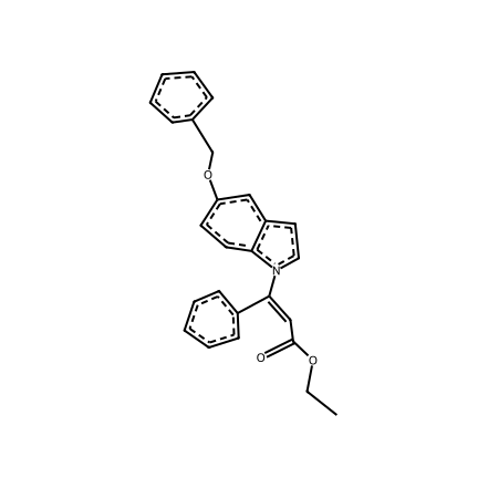 CCOC(=O)/C=C(\c1ccccc1)n1ccc2cc(OCc3ccccc3)ccc21